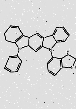 C1=CC2=C(CC1)N(c1ccccc1)C1C=c3c(c4ccccc4n3-c3cccc4c3NCN4)=CC21